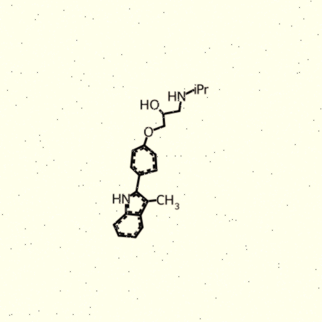 Cc1c(-c2ccc(OCC(O)CNC(C)C)cc2)[nH]c2ccccc12